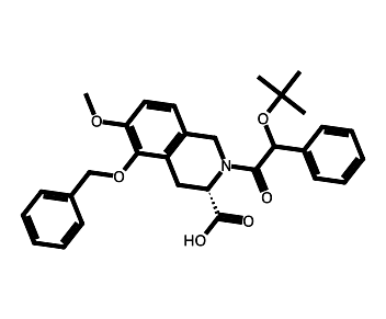 COc1ccc2c(c1OCc1ccccc1)C[C@@H](C(=O)O)N(C(=O)C(OC(C)(C)C)c1ccccc1)C2